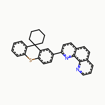 c1ccc2c(c1)Sc1ccc(-c3ccc4ccc5cccnc5c4n3)cc1C21CCCCC1